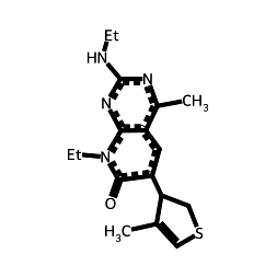 CCNc1nc(C)c2cc(C3CSC=C3C)c(=O)n(CC)c2n1